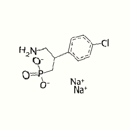 NCC(CP(=O)([O-])[O-])c1ccc(Cl)cc1.[Na+].[Na+]